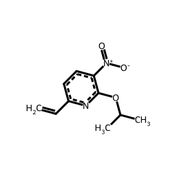 C=Cc1ccc([N+](=O)[O-])c(OC(C)C)n1